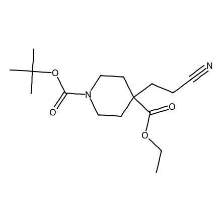 CCOC(=O)C1(CCC#N)CCN(C(=O)OC(C)(C)C)CC1